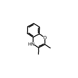 CC1=C(C)Oc2ccccc2N1